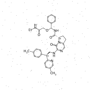 CCNC(=O)COC(NC(=O)[C@@H]1CCc2cnc(NC[C@H](c3ccc(C)cc3)c3ccc(C)cn3)c(=O)n21)c1ccccc1